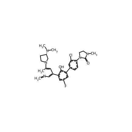 C=N/C=C(\C=C(/C)N1CC[C@H](N(C)C)C1)c1cc(F)cc(-c2ccc(N3CCN(C)C3=O)c(Cl)c2)c1O